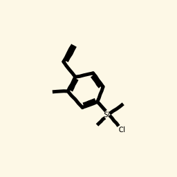 C=Cc1ccc([Si](C)(C)Cl)cc1C